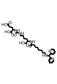 O=C(O)CCC(NC(=O)NCCCCC(NC(=O)CCCCCCCNC(c1ccccn1)c1ccccn1)C(=O)O)C(=O)O